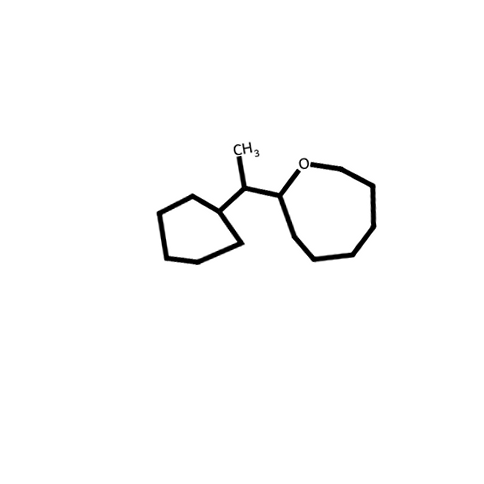 CC(C1CCCCC1)C1CCCCCCO1